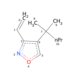 C=Cc1nocc1C(C)(C)CCC